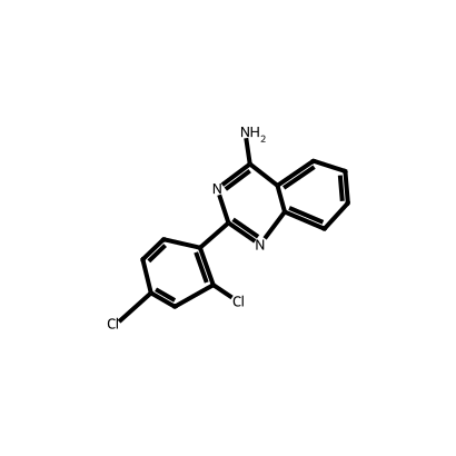 Nc1nc(-c2ccc(Cl)cc2Cl)nc2ccccc12